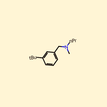 CCCN(C)Cc1cccc(C(C)(C)C)c1